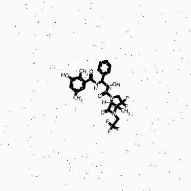 Cc1cc(O)c(C)c(C(=O)NC(c2ccccc2)[C@H](O)C(=O)N2CC(F)(F)C3(C)[C@H]2C(=O)N3CC(F)(F)F)c1